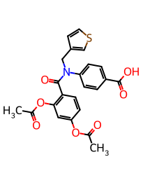 CC(=O)Oc1ccc(C(=O)N(Cc2ccsc2)c2ccc(C(=O)O)cc2)c(OC(C)=O)c1